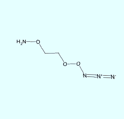 [N-]=[N+]=NOOCCON